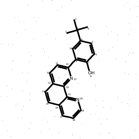 CC(C)(C)c1ccc(O)c(-c2ccc3ccc4cccnc4c3n2)c1